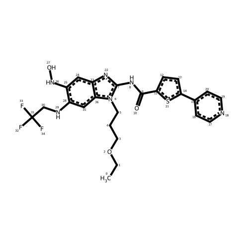 CCOCCCn1c(NC(=O)c2ccc(-c3ccncc3)s2)nc2cc(NO)c(NCC(F)(F)F)cc21